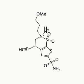 CCCC1C[N+](N)(CCCOC)S(=O)(=O)c2sc(S(N)(=O)=O)cc21.Cl